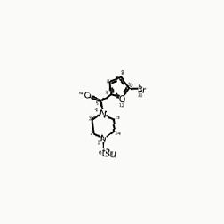 CC(C)(C)N1CCN(C(=O)c2ccc(Br)o2)CC1